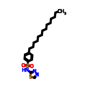 CCCCCCCCCCCCCCc1ccc(S(=O)(=O)Nc2nncs2)cc1